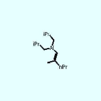 CCC/C(C)=[CH]/[Al]([CH2]C(C)C)[CH2]C(C)C